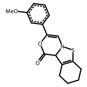 COc1cccc(C2=CN3SC4=C(CCCC4)C3C(=O)O2)c1